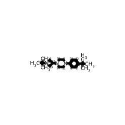 CC(C)(C)c1ccc(N2CCN(C3CN(C(C)(C)C)C3)CC2)cc1